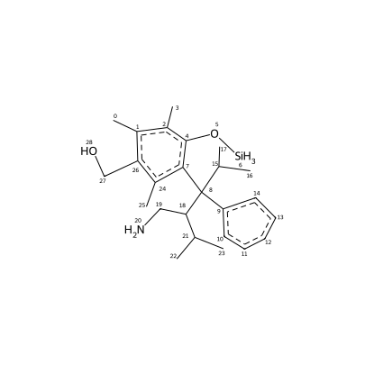 Cc1c(C)c(O[SiH3])c(C(c2ccccc2)(C(C)C)C(CN)C(C)C)c(C)c1CO